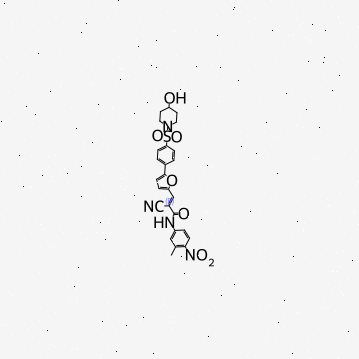 Cc1cc(NC(=O)/C(C#N)=C/c2ccc(-c3ccc(S(=O)(=O)N4CCC(O)CC4)cc3)o2)ccc1[N+](=O)[O-]